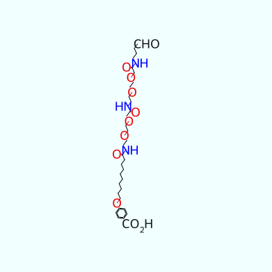 O=CCCCNC(=O)COCCOCCNC(=O)COCCOCCNC(=O)CCCCCCCCCOc1ccc(C(=O)O)cc1